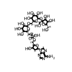 Nc1ncnc2c1ncn2[C@H]1CC(O)[C@@H](COP(=O)(O)OC[C@H]2OC(OC[C@@H]3OC(O[C@@]4(CO)O[C@@H](CO)[C@H](O)[C@H]4O)[C@@H](O)[C@H](O)[C@H]3O)[C@H](O)[C@@H](O)[C@H]2O)O1